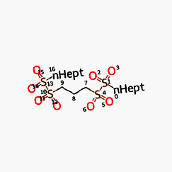 CCCCCCCS(=O)(=O)S(=O)(=O)CCCS(=O)(=O)S(=O)(=O)CCCCCCC